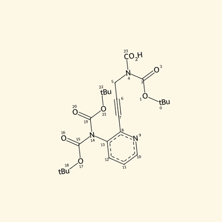 CC(C)(C)OC(=O)N(CC#Cc1ncccc1N(C(=O)OC(C)(C)C)C(=O)OC(C)(C)C)C(=O)O